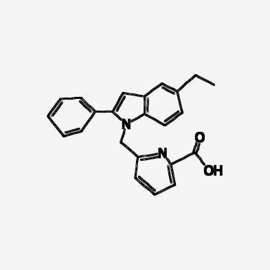 CCc1ccc2c(c1)cc(-c1ccccc1)n2Cc1cccc(C(=O)O)n1